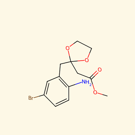 COC(=O)CC1(Cc2cc(Br)ccc2N)OCCO1